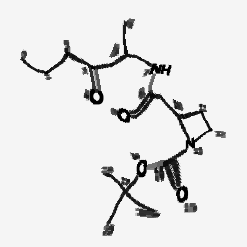 CCCC(=O)C(C)NC(=O)C1CCN1C(=O)OC(C)(C)C